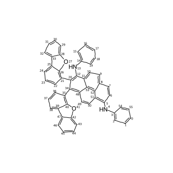 c1ccc(Nc2ccc3ccc4c(Nc5ccccc5)c(-c5cccc6c5oc5ccccc56)c(-c5cccc6c5oc5ccccc56)c5ccc2c3c45)cc1